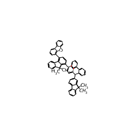 CC1(C)c2ccccc2-c2ccc(C(c3ccc(-c4ccc(-c5cccc6c5oc5ccccc56)c5c4C(C)(C)c4ccccc4-5)cc3)c3ccccc3-c3ccccc3)cc21